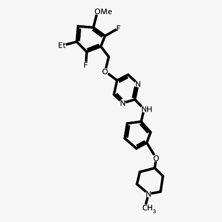 CCc1cc(OC)c(F)c(COc2cnc(Nc3cccc(OC4CCN(C)CC4)c3)nc2)c1F